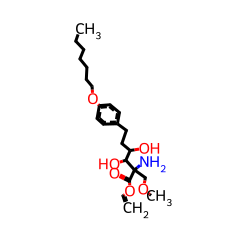 C=COC(=O)C(N)(COC)C(O)C(O)CCc1ccc(OCCCCCCC)cc1